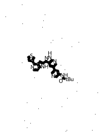 CC(C)(C)C(=O)Nc1cncc(-c2cnc3[nH]nc(-c4cc5c(-c6ccsc6)nccc5[nH]4)c3c2)c1